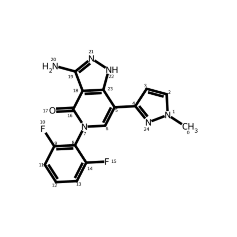 Cn1ccc(-c2cn(-c3c(F)cccc3F)c(=O)c3c(N)n[nH]c23)n1